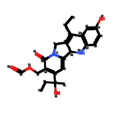 CCC1=C2Cn3c(cc(C(C)(O)CC)c(COC=O)c3=O)C2Nc2ccc(O)cc21